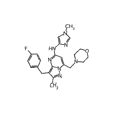 Cc1nn2c(CN3CCOCC3)cc(Nc3cn(C)cn3)nc2c1Cc1ccc(F)cc1